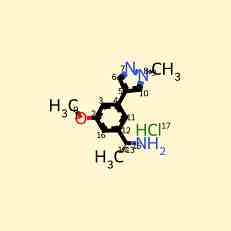 COc1cc(-c2cnn(C)c2)cc([C@@H](C)N)c1.Cl